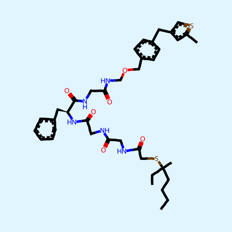 CCCCC(C)(CC)SCC(=O)NCC(=O)NCC(=O)N[C@@H](Cc1ccccc1)C(=O)NCC(=O)NCOCc1ccc(Cc2csc(C)c2)cc1